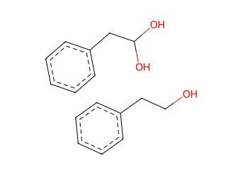 OC(O)Cc1ccccc1.OCCc1ccccc1